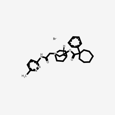 Cc1ccc(NC(=O)C[N+]23CCC(CC2)[C@@H](OC(=O)C2(c4ccccc4)CCCCCC2)C3)nn1.[Br-]